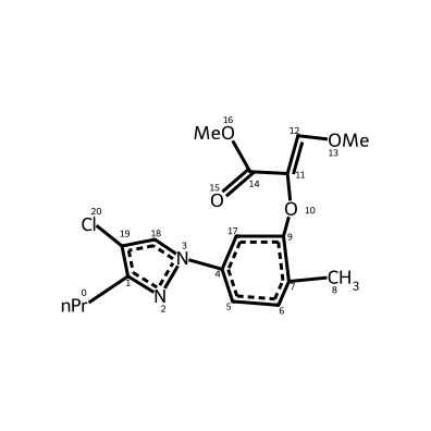 CCCc1nn(-c2ccc(C)c(O/C(=C\OC)C(=O)OC)c2)cc1Cl